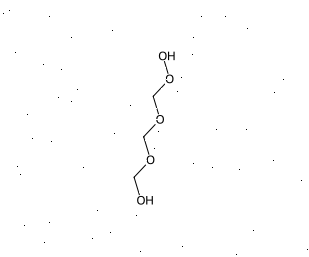 OCOCOCOO